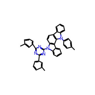 Cc1ccc(-n2c3ccccc3c3ccc4c(c5ccccc5n4-c4nc(-c5cccc(C)c5)nc(-c5cccc(C)c5)n4)c32)cc1